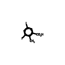 Cc1c(I)cc(I)cc1C(=O)O